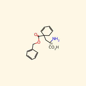 N[C@@H](CC1(C(=O)OCc2ccccc2)C=CC=CC1)C(=O)O